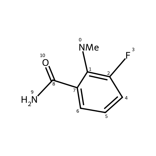 CNc1c(F)cccc1C(N)=O